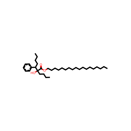 CCCCCCCCCCCCCCCCCCOC(=O)C(O)(CCCC)C(CCCC)c1ccccc1